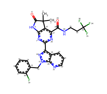 CC1(C)C(=O)Nc2nc(-c3nn(Cc4ccccc4F)c4ncccc34)nc(C(=O)NCCC(F)(F)F)c21